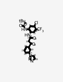 CC(C)(C)OC(=O)Nc1cc(Cl)c(C(F)(F)F)cc1NC(=O)CC(=O)c1cccc(-n2ccnn2)c1